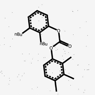 CCCCc1cccc(OC(=O)Oc2ccc(C)c(C)c2C)c1CCCC